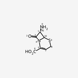 N[C@@H]1C(=O)N2C(C(=O)O)=CCSC12